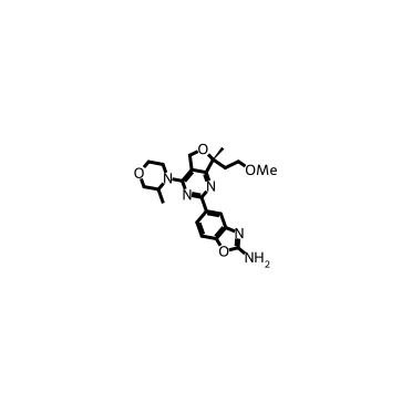 COCC[C@@]1(C)OCc2c(N3CCOCC3C)nc(-c3ccc4oc(N)nc4c3)nc21